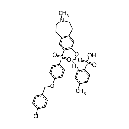 COc1cc2c(cc1S(=O)(=O)c1ccc(OCc3ccc(Cl)cc3)cc1)CCN(C)CC2.Cc1ccc(S(=O)(=O)O)cc1